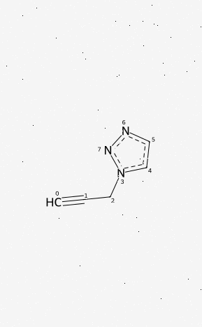 C#CCn1ccnn1